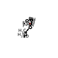 [2H]C([2H])([2H])N1C(=O)c2cccc(OC(F)F)c2[C@H]2C[C@@H]1c1nc3ccc(C#CC4(C)CN(C(=O)C5(C)CC5)C4)cc3n12